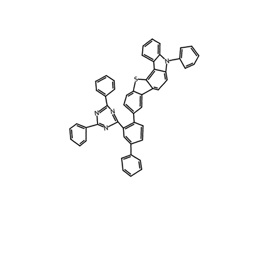 c1ccc(-c2ccc(-c3ccc4sc5c(ccc6c5c5ccccc5n6-c5ccccc5)c4c3)c(-c3nc(-c4ccccc4)nc(-c4ccccc4)n3)c2)cc1